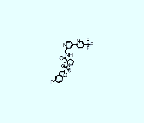 C[C@@]1(C(=O)NCc2cc(-c3ccc(C(F)(F)F)cn3)ccn2)CCCN1S(=O)(=O)c1cc2cc(F)ccc2o1